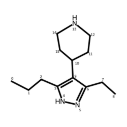 CCCc1[nH]nc(CC)c1C1CCNCC1